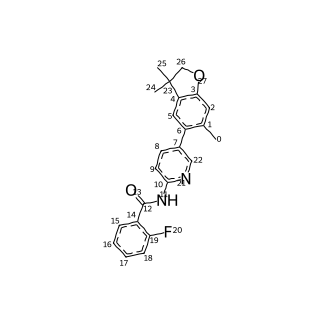 Cc1cc2c(cc1-c1ccc(NC(=O)c3ccccc3F)nc1)C(C)(C)CO2